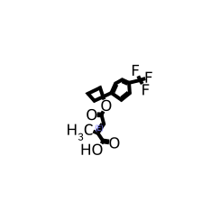 C/C(=C\C(=O)OC1(c2ccc(C(F)(F)F)cc2)CCC1)C(=O)O